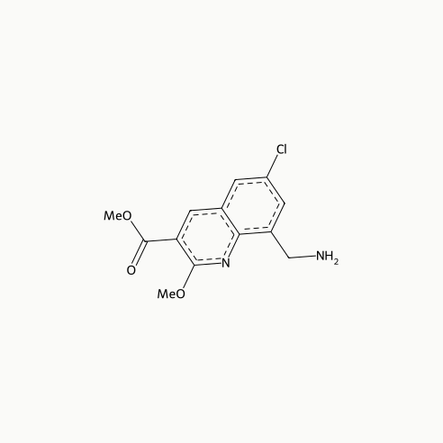 COC(=O)c1cc2cc(Cl)cc(CN)c2nc1OC